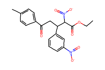 CCOC(=O)C(C(CC(=O)c1ccc(C)cc1)c1cccc([N+](=O)[O-])c1)[N+](=O)[O-]